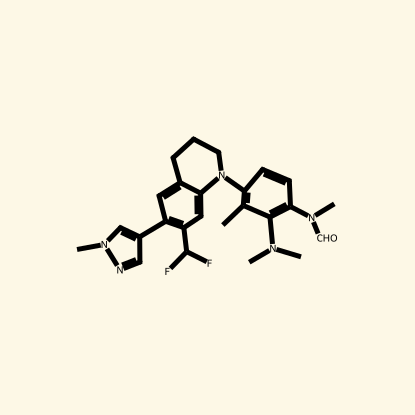 Cc1c(N2CCCc3cc(-c4cnn(C)c4)c(C(F)F)cc32)ccc(N(C)C=O)c1N(C)C